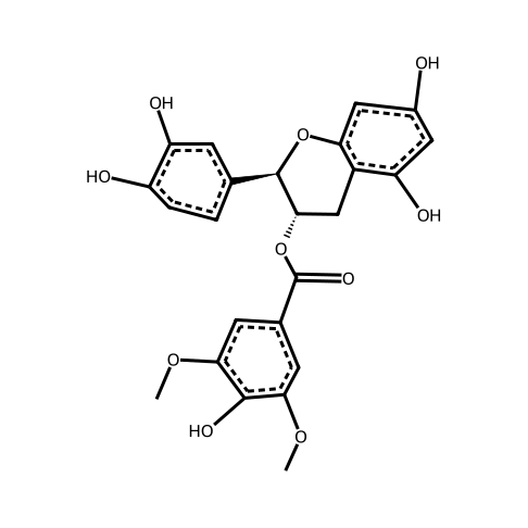 COc1cc(C(=O)O[C@H]2Cc3c(O)cc(O)cc3O[C@@H]2c2ccc(O)c(O)c2)cc(OC)c1O